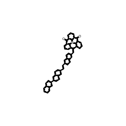 O=c1c2cccc3c(=O)c4cccc5c(=Cc6ccc7cc(/C=C/c8ccc9cc(-c%10ccc%11ccccc%11c%10)ccc9c8)ccc7c6)c6cccc1c6n(c23)c45